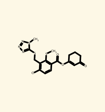 CSc1c(C(=O)OC2=CC(=O)CCC2)ccc(Cl)c1CSc1nnnn1C